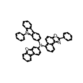 c1ccc(-c2nc3c(ccc4c(N(c5ccc6c(c5)oc5ccccc56)c5ccc6c7ccccc7n(-c7ccccc7)c6c5)cccc43)o2)cc1